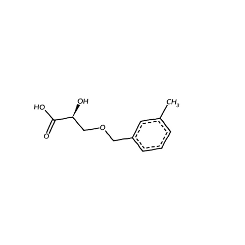 Cc1cccc(COC[C@H](O)C(=O)O)c1